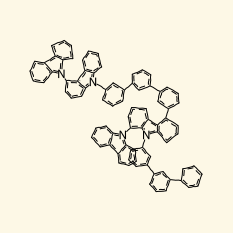 c1ccc(-c2cccc(-c3cccc(-n4c5cccc(-c6cccc(-c7cccc(-c8cccc(-n9c%10ccccc%10c%10c(-n%11c%12ccccc%12c%12ccccc%12%11)cccc%109)c8)c7)c6)c5c5cccc(-n6c7ccccc7c7ccccc76)c54)c3)c2)cc1